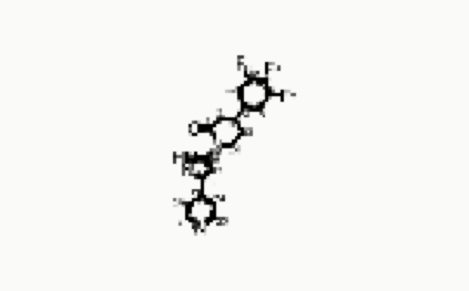 O=C1CC(c2cc(F)c(F)c(F)c2)CCN1c1cc(-c2ccncc2)n[nH]1